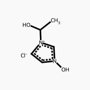 CC(O)[n+]1ccn(O)c1.[Cl-]